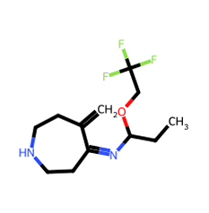 C=C1CCNCC/C1=N/C(CC)OCC(F)(F)F